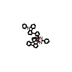 c1ccc(-c2nc(-c3cccc(-c4cccc5c4c4ccccc4n5-c4ccccc4)c3)nc(-c3cccc4c3C3(c5ccccc5-4)C4CC5CC(C4)CC3C5)n2)cc1